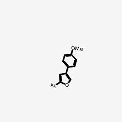 COc1ccc(-c2coc(C(C)=O)c2)cc1